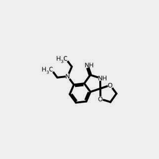 CCN(CC)c1cccc2c1C(=N)NC21OCCO1